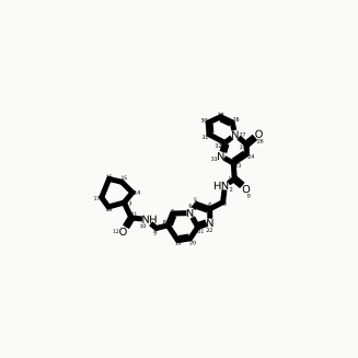 O=C(NCc1cn2cc(CNC(=O)C3CCCCC3)ccc2n1)c1cc(=O)n2ccccc2n1